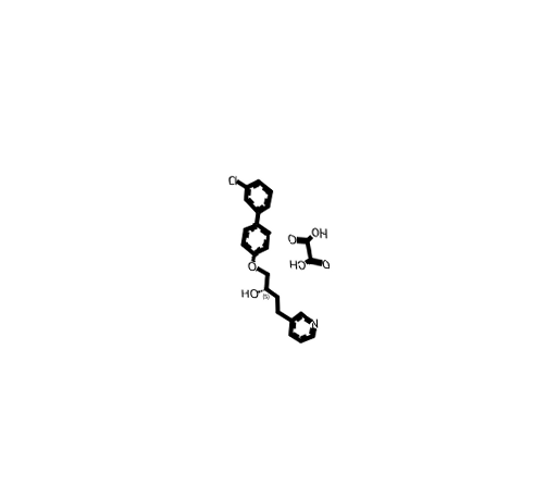 O=C(O)C(=O)O.O[C@@H](CCc1cccnc1)COc1ccc(-c2cccc(Cl)c2)cc1